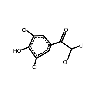 O=C(c1cc(Cl)c(O)c(Cl)c1)C(Cl)Cl